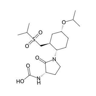 CC(C)O[C@@H]1CC[C@H](N2CC[C@H](NC(=O)O)C2=O)[C@@H](CS(=O)(=O)C(C)C)C1